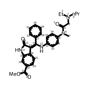 CCCN(CC)CC(=O)N(C)c1ccc(NC(=C2C(=O)Nc3cc(C(=O)OC)ccc32)c2ccccc2)cc1